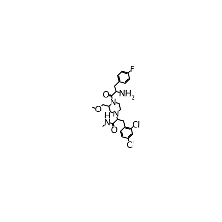 CNC(=O)C(Cc1ccc(Cl)cc1Cl)N1CCN(C(=O)C(N)Cc2ccc(F)cc2)C(COC)C1